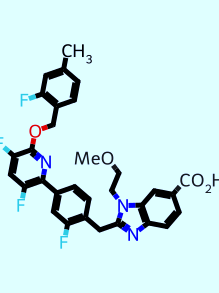 COCCn1c(Cc2ccc(-c3nc(OCc4ccc(C)cc4F)c(F)cc3F)cc2F)nc2ccc(C(=O)O)cc21